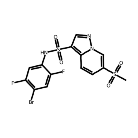 CS(=O)(=O)c1ccc2c(S(=O)(=O)Nc3cc(F)c(Br)cc3F)cnn2c1